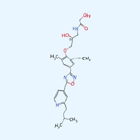 CCc1cc(-c2noc(-c3ccnc(CCC(C)C)c3)n2)cc(C)c1OC[C@@H](O)CNC(=O)CO